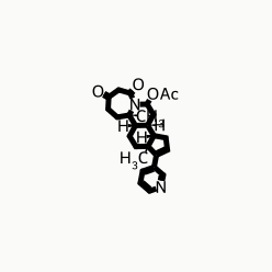 CC(=O)OC1C[C@H]2[C@@H]3CC=C(c4cccnc4)[C@@]3(C)CC[C@@H]2[C@@]2(C)CCC(=O)CC(=O)N12